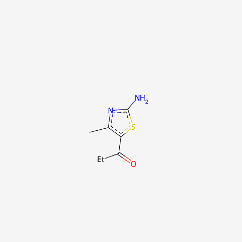 CCC(=O)c1sc(N)nc1C